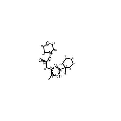 Cc1oc(C2(C)CCCCC2)nc1CC(=O)ON1CCOCC1